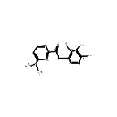 CN(C)c1cccc(C(=O)Cc2ccc(F)c(F)c2F)c1